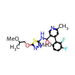 COc1ccc(F)c(F)c1-c1cc(C)ncc1C(=O)Nc1nnc(OCC(C)OC)s1